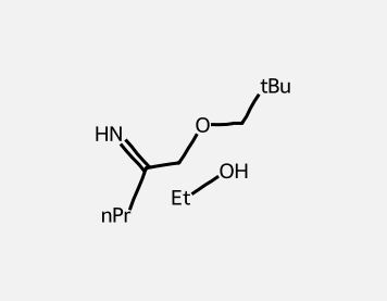 CCCC(=N)COCC(C)(C)C.CCO